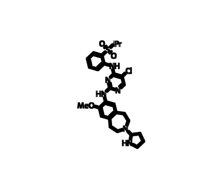 COc1cc2c(cc1Nc1ncc(Cl)c(Nc3ccccc3S(=O)(=O)C(C)C)n1)CCN(C1CCCN1)CC2